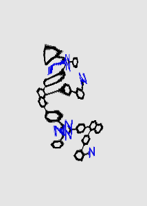 N#Cc1cccc(-c2ccc(-c3c(-c4ccc(-c5nc(-c6ccccc6)nc(-c6ccccc6)n5)cc4)ccc4ccc(-c5ccc(-c6nc(-c7ccccc7)nc(-c7ccc(-c8ccc9ccccc9c8-c8ccc(-c9ccccc9C#N)cc8)cc7)n6)cc5)cc34)cc2)c1